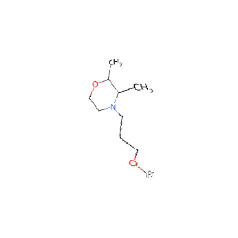 CC(C)OCCCN1CCOC(C)C1C